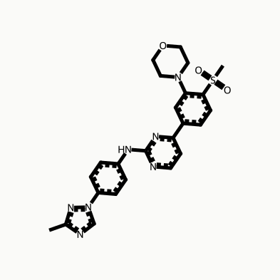 Cc1ncn(-c2ccc(Nc3nccc(-c4ccc(S(C)(=O)=O)c(N5CCOCC5)c4)n3)cc2)n1